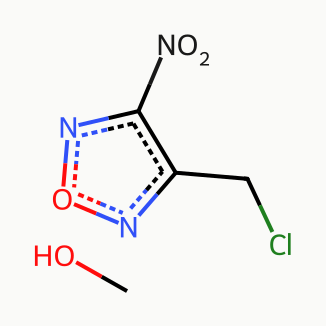 CO.O=[N+]([O-])c1nonc1CCl